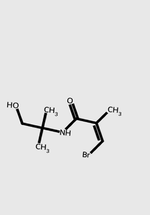 CC(=CBr)C(=O)NC(C)(C)CO